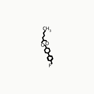 CCCCCC1COC(C2CCC(c3ccc(CF)cc3)CC2)OC1